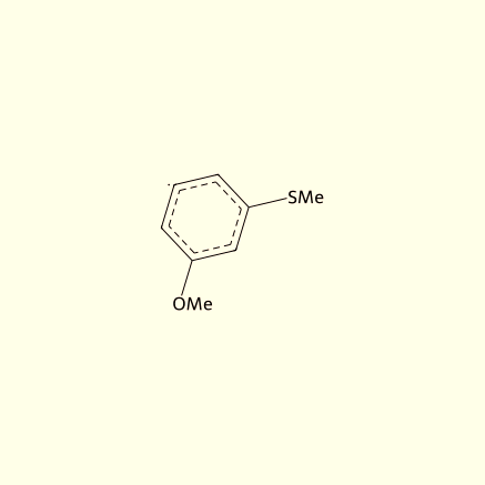 COc1c[c]cc(SC)c1